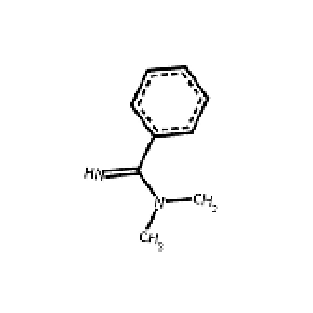 CN(C)C(=N)c1ccccc1